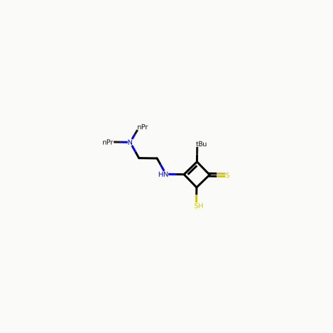 CCCN(CCC)CCNC1=C(C(C)(C)C)C(=S)C1S